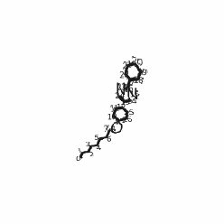 CCCCCCCCO[C@H]1CC[C@H](c2cnc(C3CCCCC3)nc2)CC1